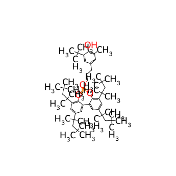 Cc1cc(CCCOp2oc3c(C(C)(C)CC(C)(C)C)cc(C(C)(C)CC(C)(C)C)cc3c3cc(C(C)(C)CC(C)(C)C)cc(C(C)(C)CC(C)(C)C)c3o2)cc(C(C)(C)C)c1O